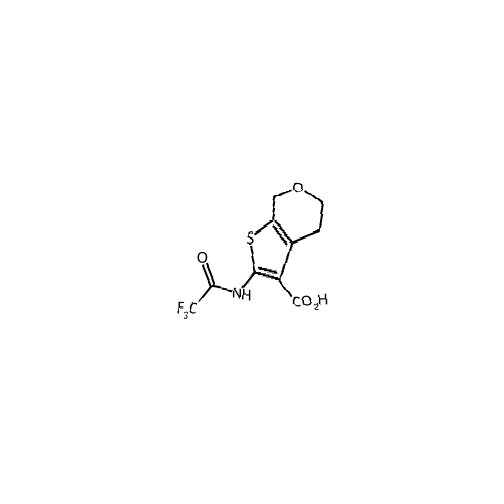 O=C(O)c1c(NC(=O)C(F)(F)F)sc2c1CCOC2